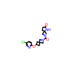 O=C1CCC2(CN(C(=O)N3CC4(CC(Oc5ccc(Cl)cn5)C4)C3)C2)N1